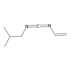 C=CN=C=NCC(C)C